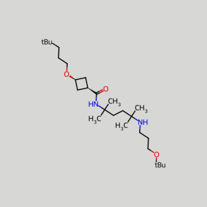 CC(C)(C)CCCO[C@H]1C[C@@H](C(=O)NC(C)(C)CCC(C)(C)NCCCOC(C)(C)C)C1